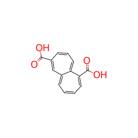 O=C(O)C1=CC2=CC=CC=C(C(=O)O)C2=CC=C1